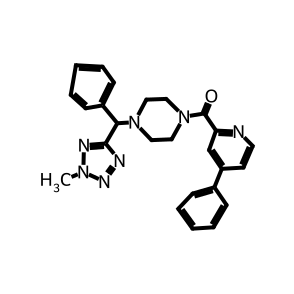 Cn1nnc(C(c2ccccc2)N2CCN(C(=O)c3cc(-c4ccccc4)ccn3)CC2)n1